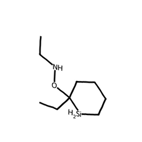 CCNOC1(CC)CCCC[SiH2]1